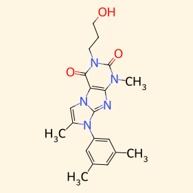 Cc1cc(C)cc(-n2c(C)cn3c4c(=O)n(CCCO)c(=O)n(C)c4nc23)c1